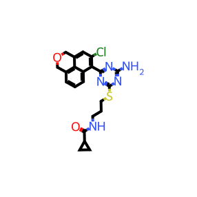 Nc1nc(SCCCNC(=O)C2CC2)nc(-c2c(Cl)cc3c4c(cccc24)COC3)n1